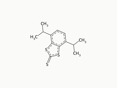 CC(C)c1ccc(C(C)C)c2sc(=S)sc12